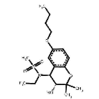 CC1(C)Oc2ccc(OCCCC(F)(F)F)cc2[C@H](N(CC(F)(F)F)S(C)(=O)=O)[C@H]1O